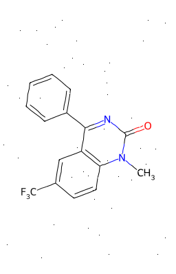 Cn1c(=O)nc(-c2ccccc2)c2cc(C(F)(F)F)ccc21